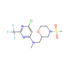 CN(CC1CN(S(C)(=O)=O)CCO1)c1cc(Cl)nc(C(F)(F)F)n1